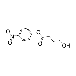 O=C(CCCO)Oc1ccc([N+](=O)[O-])cc1